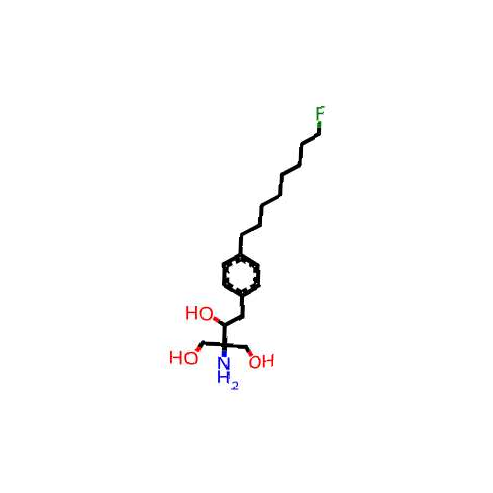 NC(CO)(CO)C(O)Cc1ccc(CCCCCCCCF)cc1